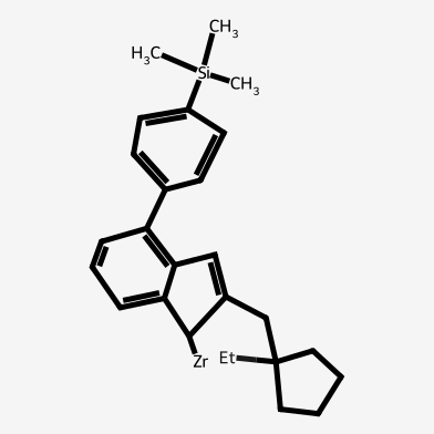 CCC1(CC2=Cc3c(-c4ccc([Si](C)(C)C)cc4)cccc3[CH]2[Zr])CCCC1